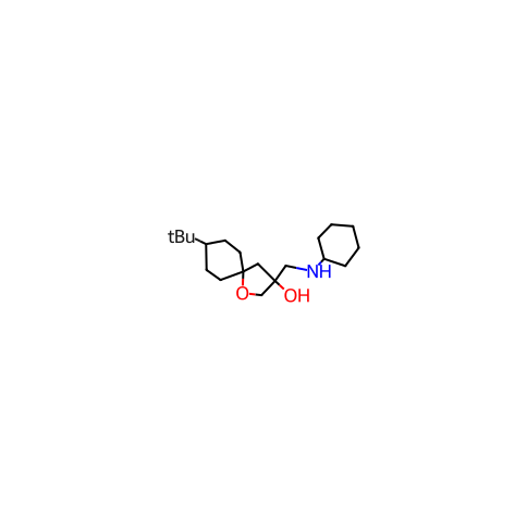 CC(C)(C)C1CCC2(CC1)CC(O)(CNC1CCCCC1)CO2